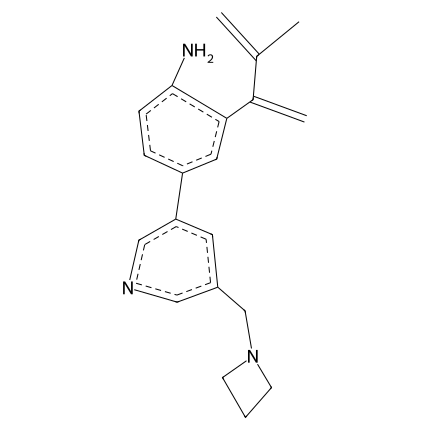 C=C(C)C(=C)c1cc(-c2cncc(CN3CCC3)c2)ccc1N